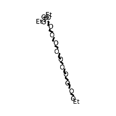 CCOCCOCCOCCOCCOCCOCCOCCOCCOCCOCCP(=O)(OCC)OCC